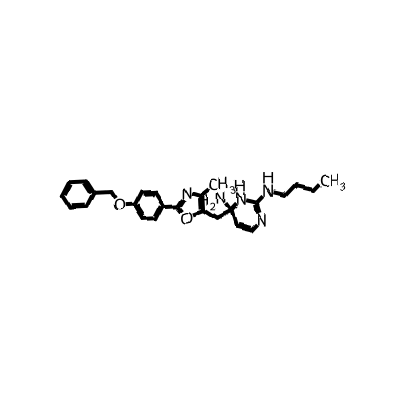 CCCCNC1=NC=CC(N)(Cc2oc(-c3ccc(OCc4ccccc4)cc3)nc2C)N1